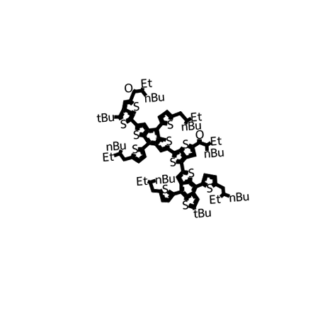 CCCCC(CC)Cc1ccc(-c2c3cc(C(C)(C)C)sc3c(-c3ccc(CC(CC)CCCC)s3)c3cc(-c4sc(-c5cc6c(-c7ccc(CC(CC)CCCC)s7)c7sc(-c8sc(C(C)(C)C)c9cc(C(=O)C(CC)CCCC)sc89)cc7c(-c7ccc(CC(CC)CCCC)s7)c6s5)c5sc(C(=O)C(CC)CCCC)cc45)sc23)s1